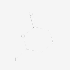 O=C1CCCC(I)O1